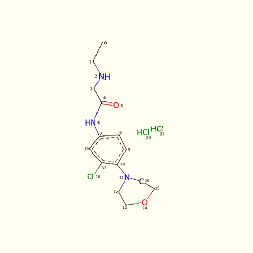 CCNCC(=O)Nc1ccc(N2CCOCC2)c(Cl)c1.Cl.Cl